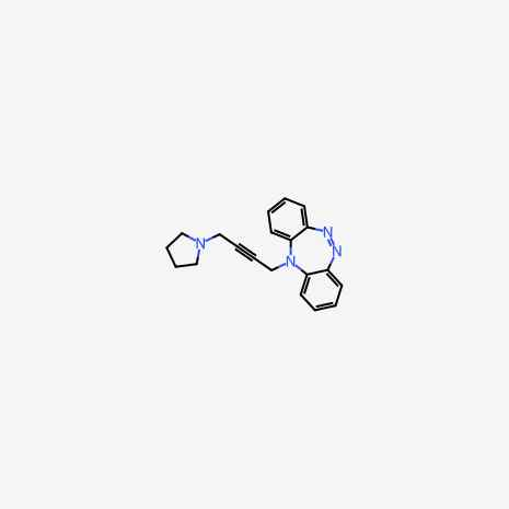 C(#CCN1c2ccccc2N=Nc2ccccc21)CN1CCCC1